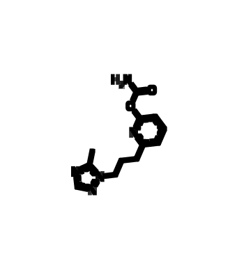 Cc1ncnn1CCCc1cccc(OC(N)=O)n1